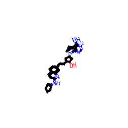 Nc1ncnc2c1ccn2C1CC(O)C(CCc2ccc3ccc(NC4CCCC4)nc3c2)C1